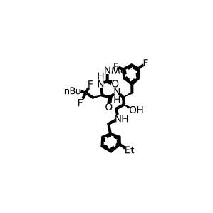 CCCCC(F)(F)C[C@@H](NC(=O)NC)C(=O)N[C@@H](Cc1cc(F)cc(F)c1)[C@@H](O)CNCc1cccc(CC)c1